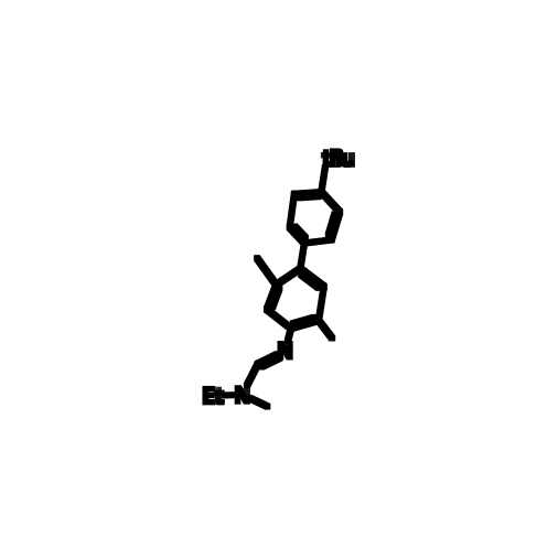 CCN(C)/C=N/c1cc(C)c(-c2ccc(C(C)(C)C)cc2)cc1C